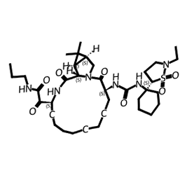 CCCNC(=O)C(=O)[C@@H]1CCCCCCCC[C@H](NC(=O)NC2([C@@H]3CCN(CC)S3(=O)=O)CCCCC2)C(=O)N2C[C@H]3[C@@H]([C@H]2C(=O)N1)C3(C)C